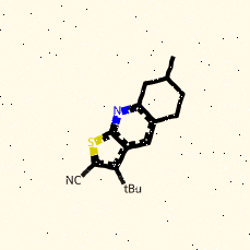 CC1CCc2cc3c(C(C)(C)C)c(C#N)sc3nc2C1